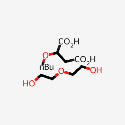 CCCCOC(CC(=O)O)C(=O)O.OCCOCCO